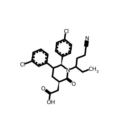 CCC(CCC#N)N1C(=O)[C@@H](CC(=O)O)CC(c2cccc(Cl)c2)[C@H]1c1ccc(Cl)cc1